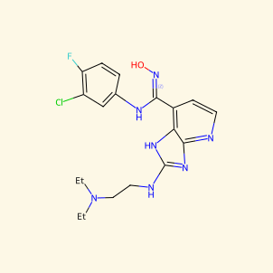 CCN(CC)CCNc1nc2nccc(/C(=N/O)Nc3ccc(F)c(Cl)c3)c2[nH]1